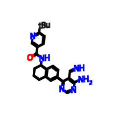 CC(C)(C)c1ccc(C(=O)NC2CCCc3cc(-c4ncnc(N)c4C=N)ccc32)cn1